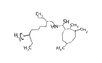 C=C1CCC(C)CCC(C(S)NCC(CCC)CCCCC(C)CC)C1C